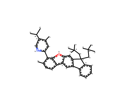 Cc1cc(-c2c(C)ccc3c2oc2cc4c(cc23)-c2ccccc2C4(CC(C)(C)C)CC(C)(C)C)ncc1C(C)C